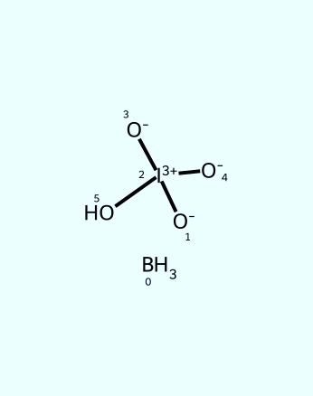 B.[O-][I+3]([O-])([O-])O